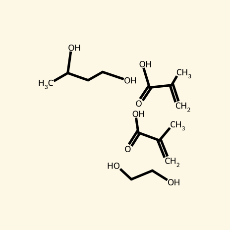 C=C(C)C(=O)O.C=C(C)C(=O)O.CC(O)CCO.OCCO